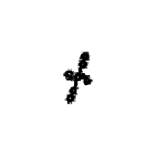 C(#Cc1cc(OC2CCCCO2)c(C#Cc2ccc(-c3ccccc3)cc2)cc1OC1CCCCO1)c1ccc(-c2ccccc2)cc1